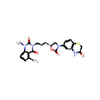 Cc1cccc2c1c(=O)n(CCC[C@H]1CN(c3ccc4c(c3)NC(=O)CS4)C(=O)O1)c(=O)n2C